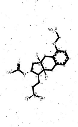 CCCC(=O)O[C@@H]1C[C@@H]2Cc3c(cccc3OCC(=O)O)C[C@@H]2[C@H]1CC[C@@H](O)CC